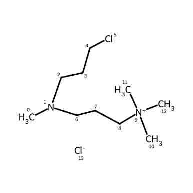 CN(CCCCl)CCC[N+](C)(C)C.[Cl-]